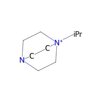 CC(C)[N+]12CCN(CC1)CC2